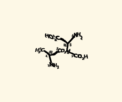 C[C@H](N)C(=O)O.N[C@@H](CC(=O)O)C(=O)O